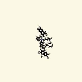 Cc1cc2cc(CN(Cc3cc(/[SH]=C(\NCCCN(C)C)N(Cc4ccco4)Cc4cc5cc(C)c(C)cc5[nH]c4=O)cs3)C(=S)NCCN3CCOCC3)c(=O)[nH]c2cc1C